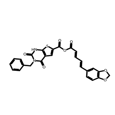 O=C(C=CC=Cc1ccc2c(c1)OCO2)OC(=O)c1cc2c(=O)n(Cc3ccccc3)c(=O)[nH]c2s1